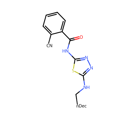 CCCCCCCCCCCNc1nnc(NC(=O)c2ccccc2C#N)s1